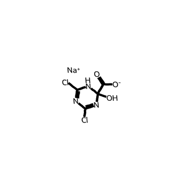 O=C([O-])C1(O)N=C(Cl)N=C(Cl)N1.[Na+]